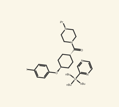 CC(C)N1CCN(C(=O)[C@H]2CC[C@H](Oc3ccc(I)cc3)CC2)CC1.CCC[CH2][Sn]([CH2]CCC)([CH2]CCC)[c]1cnccn1